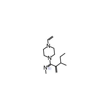 C=CN1CCN(/C(=N/C)C(=C)C(C)CC)CC1